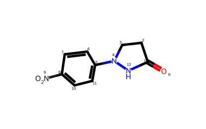 O=C1CCN(c2ccc([N+](=O)[O-])cc2)N1